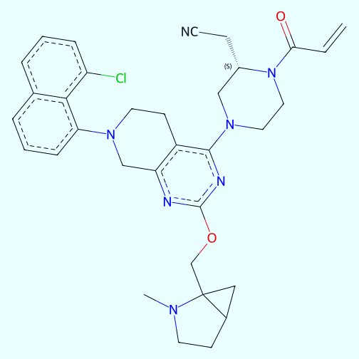 C=CC(=O)N1CCN(c2nc(OCC34CC3CCN4C)nc3c2CCN(c2cccc4cccc(Cl)c24)C3)C[C@@H]1CC#N